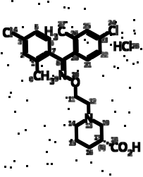 Cc1cc(Cl)ccc1C(=NOCCN1CCC[C@@H](C(=O)O)C1)c1ccc(Cl)cc1C.Cl